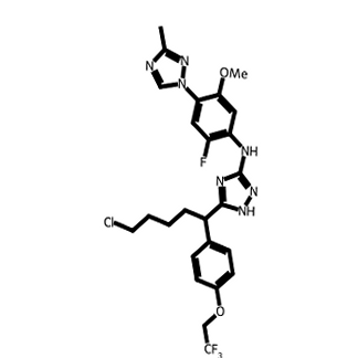 COc1cc(Nc2n[nH]c(C(CCCCCl)c3ccc(OCC(F)(F)F)cc3)n2)c(F)cc1-n1cnc(C)n1